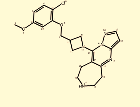 COc1ccc(Cl)c(OCC2CN(c3c4c(nc5ccnn35)CCNCC4)C2)c1